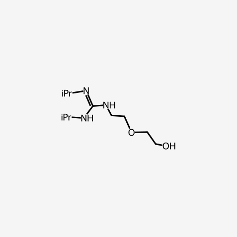 CC(C)/N=C(/NCCOCCO)NC(C)C